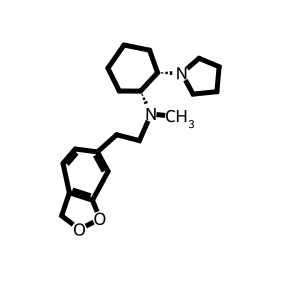 CN(CCc1ccc2c(c1)OOC2)[C@@H]1CCCC[C@@H]1N1CCCC1